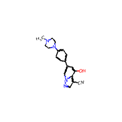 CN1CCN(c2ccc(-c3cc(O)c4c(C#N)cnn4c3)cc2)CC1